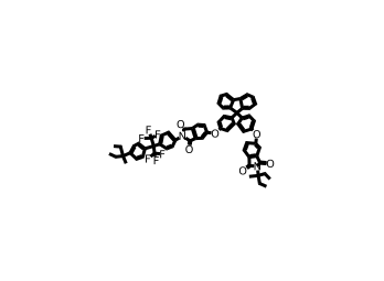 CCC(C)(CC)c1ccc(C(c2ccc(N3C(=O)c4ccc(Oc5ccc(C6(c7ccc(Oc8ccc9c(c8)C(=O)N(C(C)(CC)CC)C9=O)cc7)c7ccccc7-c7ccccc76)cc5)cc4C3=O)cc2)(C(F)(F)F)C(F)(F)F)cc1